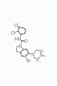 C[C@@H]1CN(c2cc3c(cc2Br)CCN3C(=O)Nc2cccc(Cl)c2Cl)C[C@H](C)N1C